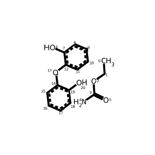 CCOC(N)=O.Oc1ccccc1Oc1ccccc1O